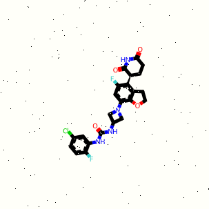 O=C1CC[C@@H](c2c(F)cc(N3CC(NC(=O)Nc4cc(Cl)ccc4F)C3)c3c2CCO3)C(=O)N1